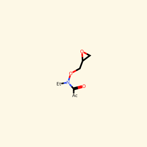 CCN(OCC1CO1)C(=O)C(C)=O